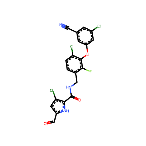 N#Cc1cc(Cl)cc(Oc2c(Cl)ccc(CNC(=O)c3[nH]c(C=O)cc3Cl)c2F)c1